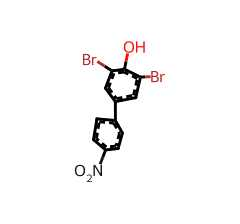 O=[N+]([O-])c1ccc(-c2cc(Br)c(O)c(Br)c2)cc1